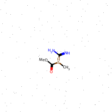 COC(=O)[SH](C)C(=N)N